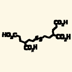 O=C(O)CCC(CCSSCCC(CCC(=O)O)C(=O)O)C(=O)O